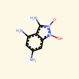 Nc1cc(N)c2c(N)[n+]([O-])n(O)c2c1